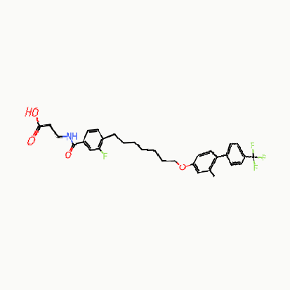 Cc1cc(OCCCCCCCc2ccc(C(=O)NCCC(=O)O)cc2F)ccc1-c1ccc(C(F)(F)F)cc1